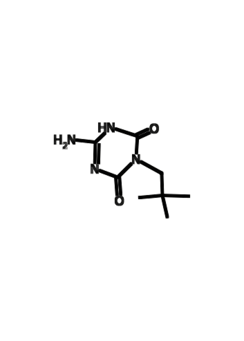 CC(C)(C)Cn1c(=O)nc(N)[nH]c1=O